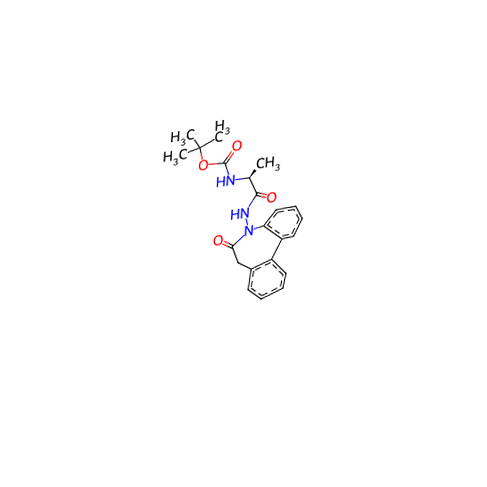 C[C@H](NC(=O)OC(C)(C)C)C(=O)NN1C(=O)Cc2ccccc2-c2ccccc21